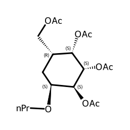 CCCO[C@H]1C[C@H](COC(C)=O)[C@H](OC(C)=O)[C@H](OC(C)=O)[C@H]1OC(C)=O